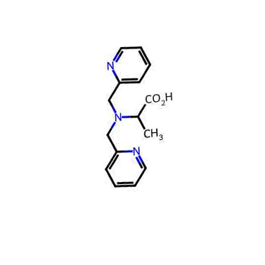 CC(C(=O)O)N(Cc1ccccn1)Cc1ccccn1